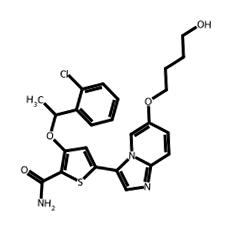 CC(Oc1cc(-c2cnc3ccc(OCCCCO)cn23)sc1C(N)=O)c1ccccc1Cl